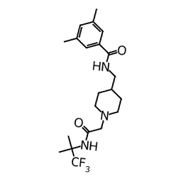 Cc1cc(C)cc(C(=O)NCC2CCN(CC(=O)NC(C)(C)C(F)(F)F)CC2)c1